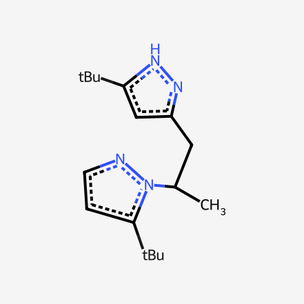 CC(Cc1cc(C(C)(C)C)[nH]n1)n1nccc1C(C)(C)C